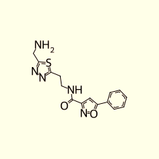 NCc1nnc(CCNC(=O)c2cc(-c3ccccc3)on2)s1